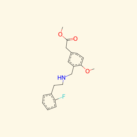 COC(=O)Cc1ccc(OC)c(CNCCc2ccccc2F)c1